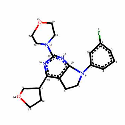 Fc1cccc(N2CCc3c(C4CCOC4)nc(N4CCOCC4)nc32)c1